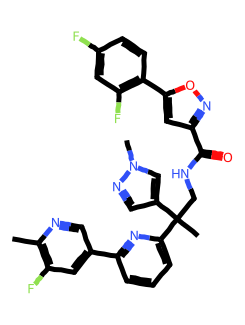 Cc1ncc(-c2cccc(C(C)(CNC(=O)c3cc(-c4ccc(F)cc4F)on3)c3cnn(C)c3)n2)cc1F